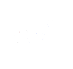 CCCN(Cc1nnc2n1-c1cccc(Br)c1C(c1ccccc1Cl)=NC2)CC1CC1